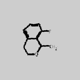 [CH2]C1OCCc2cccc(F)c21